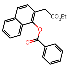 CCOC(=O)Cc1ccc2ccccc2c1OC(=O)c1ccccc1